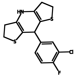 Fc1ccc(C2C3=C(CCS3)NC3=C2SCC3)cc1Cl